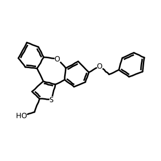 OCc1cc2c(s1)-c1ccc(OCc3ccccc3)cc1Oc1ccccc1-2